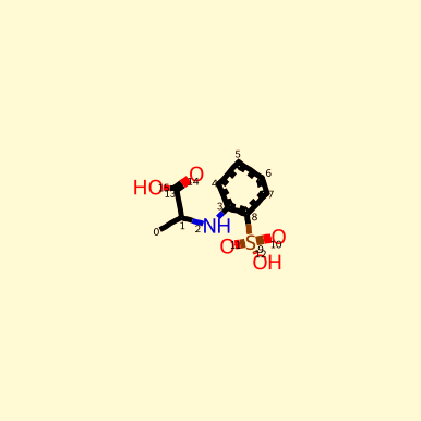 CC(Nc1ccccc1S(=O)(=O)O)C(=O)O